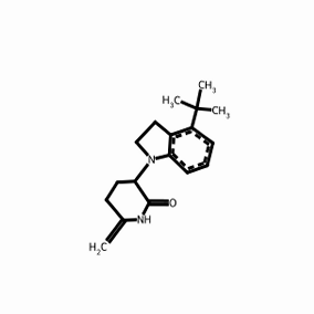 C=C1CCC(N2CCc3c2cccc3C(C)(C)C)C(=O)N1